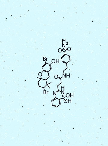 CC12CCC(Br)C(C)(C)C1Cc1cc(O)c(Br)cc1O2.NS(=O)(=O)c1ccc(CCNC(=O)CCC2=Nc3ccccc3S(O)(O)N2)cc1